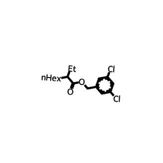 CCCCCCC(CC)C(=O)OCc1cc(Cl)cc(Cl)c1